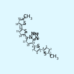 Cc1ccc(-c2ccc(-c3ccc(-c4ccc(-c5ccc(C)s5)s4)n4nnnc34)s2)s1